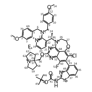 COc1ccc(CN(Cc2ccc(OC)cc2)c2ncccc2[C@@H](C)N2CCOc3c(Cl)c(-c4cccc5sc(NC(=O)OC(C)(C)C)nc45)c(F)c4nc(OC[C@@]56CCCN5C[C@H](F)C6)nc2c34)cc1